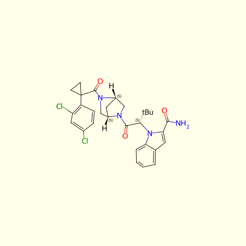 CC(C)(C)[C@@H](C(=O)N1C[C@@H]2C[C@H]1CN2C(=O)C1(c2ccc(Cl)cc2Cl)CC1)n1c(C(N)=O)cc2ccccc21